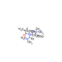 C=C(C)C(=O)NC(CC)N(C)C.CC(=O)O.C[N+](C)(C)CC(=O)[O-]